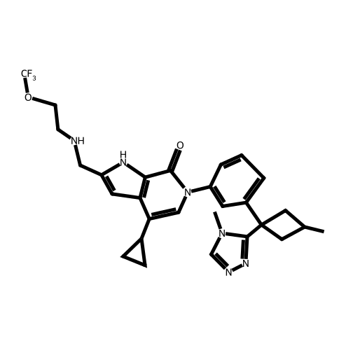 CC1CC(c2cccc(-n3cc(C4CC4)c4cc(CNCCOC(F)(F)F)[nH]c4c3=O)c2)(c2nncn2C)C1